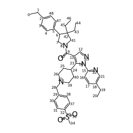 CCc1ccc(C2CN(C(=O)c3cnn(-c4ccc(CC)cn4)c3C3CCN(Cc4ccc(S(C)(=O)=O)cc4)CC3)CC2(CC)CC)cc1